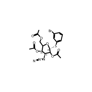 CC(=O)OCC1O[C@H](Sc2cccc(Br)c2)C(OC(C)=O)[C@@H](N=[N+]=[N-])[C@H]1OC(C)=O